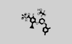 Cc1ccc(CN2CCC[C@@H](Oc3cc(F)c(C(=O)NS(C)(=O)=O)cc3C3CC3)C2)c(C)c1.O=C(O)C(F)(F)F